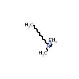 CCCCCCCCCCCc1n(CCC)cc[n+]1C